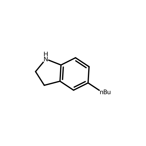 [CH2]CCCc1ccc2c(c1)CCN2